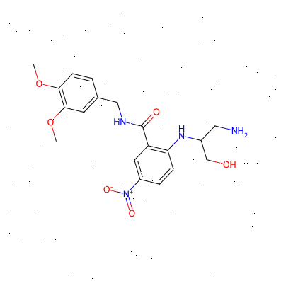 COc1ccc(CNC(=O)c2cc([N+](=O)[O-])ccc2NC(CN)CO)cc1OC